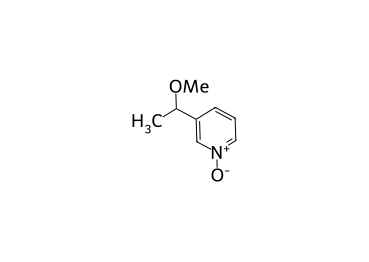 COC(C)c1ccc[n+]([O-])c1